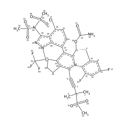 CC(C)(C#Cc1nc([C@@H](Cc2cc(F)cc(F)c2)OC(N)=O)c(-c2ccc(Cl)c3c(N(S(C)(=O)=O)S(C)(=O)=O)nn(CC(F)(F)F)c23)c2c1CCC2)S(C)(=O)=O